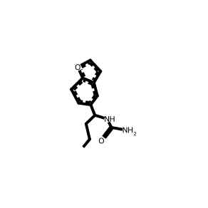 CCCC(NC(N)=O)c1ccc2occc2c1